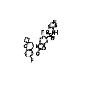 O=c1oc2cc(S(=O)(=O)Nc3ncns3)c(F)cc2n1C1CC2(CCC2)Oc2ccc(F)cc21